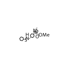 COC(=O)c1cc(C)nn1-c1ccc(CNSc2ccccc2)cc1